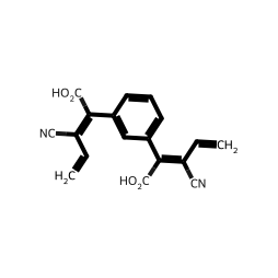 C=CC(C#N)=C(C(=O)O)c1cccc(C(C(=O)O)=C(C#N)C=C)c1